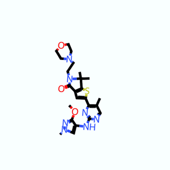 COc1nn(C)cc1Nc1ncc(C)c(-c2cc3c(s2)C(C)(C)N(CCN2CCOCC2)C3=O)n1